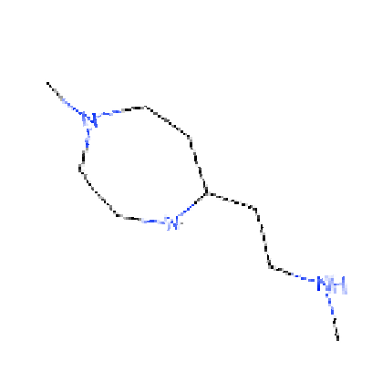 CNCCC1CCN(C)CC[N]1